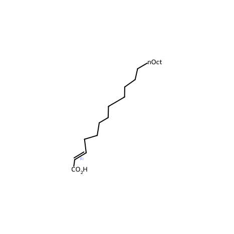 CCCCCCCCCCCCCCCCC/C=C/C(=O)O